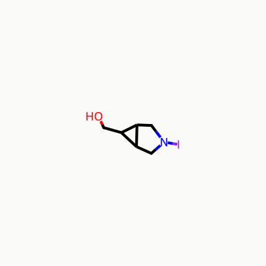 OCC1C2CN(I)CC12